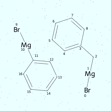 [Br][Mg][CH2]c1ccccc1.[Br][Mg][c]1ccccc1